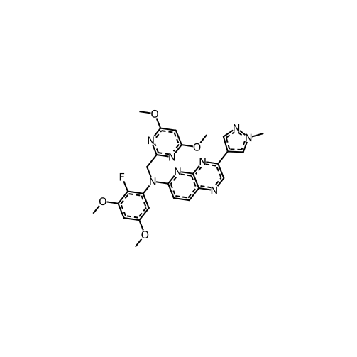 COc1cc(OC)c(F)c(N(Cc2nc(OC)cc(OC)n2)c2ccc3ncc(-c4cnn(C)c4)nc3n2)c1